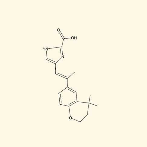 CC(=Cc1c[nH]c(C(=O)O)n1)c1ccc2c(c1)C(C)(C)CCO2